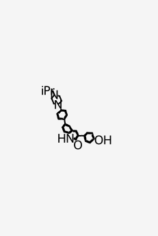 CC(C)N1CCN(c2ccc(-c3ccc4[nH]c(=O)c(-c5ccc(O)cc5)cc4c3)cc2)CC1